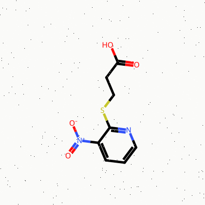 O=C(O)CCSc1ncccc1[N+](=O)[O-]